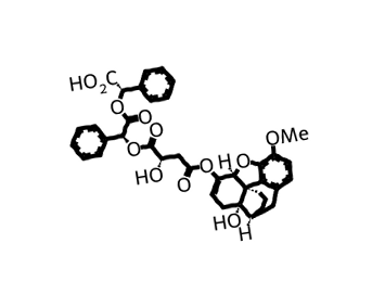 COc1ccc2c3c1O[C@@H]1C(OC(=O)C[C@H](O)C(=O)O[C@H](C(=O)O[C@H](C(=O)O)c4ccccc4)c4ccccc4)=CC[C@]4(O)[C@@H](CCC[C@@]314)C2